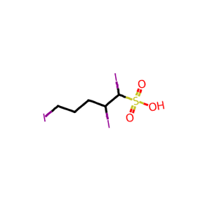 O=S(=O)(O)C(I)C(I)CCCI